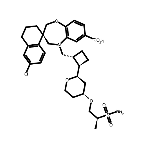 C[C@@H](CO[C@@H]1CCO[C@@H]([C@@H]2CC[C@H]2CN2C[C@@]3(CCCc4cc(Cl)ccc43)COc3ccc(C(=O)O)cc32)C1)S(N)(=O)=O